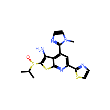 CC(C)[S+]([O-])c1sc2nc(-c3nccs3)cc(-c3nc#cn3C)c2c1N